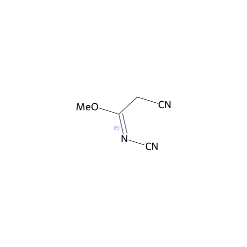 CO/C(CC#N)=N/C#N